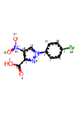 O=C(O)c1nn(-c2ccc(Br)cc2)cc1[N+](=O)[O-]